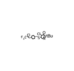 CC(C)(C)n1ncc(SCc2ccc(C=C(Cl)C(F)(F)F)cc2)c(Cl)c1=O